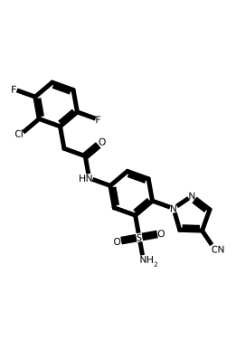 N#Cc1cnn(-c2ccc(NC(=O)Cc3c(F)ccc(F)c3Cl)cc2S(N)(=O)=O)c1